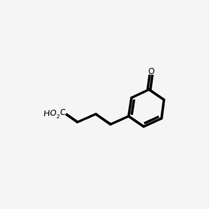 O=C(O)CCCC1=CC(=O)CC=C1